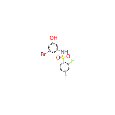 O=S(=O)(Nc1cc(O)cc(Br)c1)c1ccc(F)cc1F